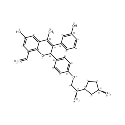 C=Cc1cc(O)cc2c1OC(c1ccc(OC[C@H](C)N3CC[C@@H](C)C3)cc1)C(c1cccc(O)c1)=C2C